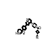 CO[C@@]1(c2ccc(-c3cc4c(N5CCN(C(=O)[C@H]6C[C@H](C#N)C6)CC5)ccnn4c3)cc2)CCCNC1